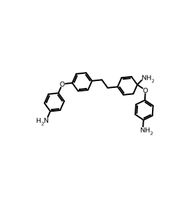 Nc1ccc(Oc2ccc(CCC3=CCC(N)(Oc4ccc(N)cc4)C=C3)cc2)cc1